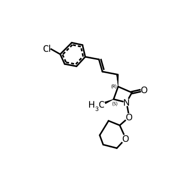 C[C@H]1[C@@H](CC=Cc2ccc(Cl)cc2)C(=O)N1OC1CCCCO1